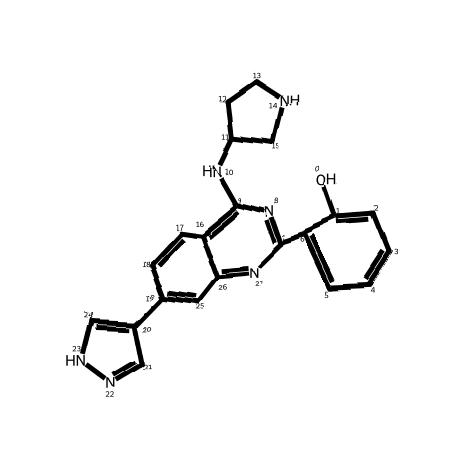 Oc1ccccc1-c1nc(NC2CCNC2)c2ccc(-c3cn[nH]c3)cc2n1